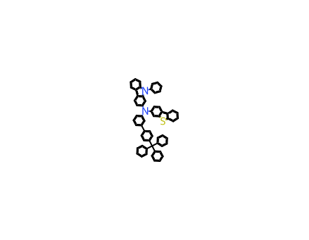 c1ccc(-n2c3ccccc3c3ccc(N(c4cccc(-c5ccc(C(c6ccccc6)(c6ccccc6)c6ccccc6)cc5)c4)c4ccc5c(c4)sc4ccccc45)cc32)cc1